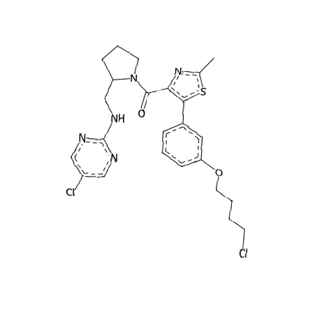 Cc1nc(C(=O)N2CCCC2CNc2ncc(Cl)cn2)c(-c2cccc(OCCCCCl)c2)s1